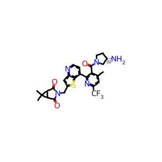 Cc1cc(C(F)(F)F)nc(-c2ccnc3cc(CN4C(=O)C5C(C4=O)C5(C)C)sc23)c1C(=O)N1CC[C@H](N)C1